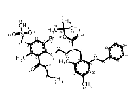 CCOC(=O)c1c(C)c(OS(C)(=O)=O)cc(Br)c1OCCN(Cc1c(C)cc(C)nc1OCc1ccccc1)C(=O)OC(C)(C)C